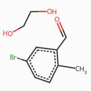 Cc1ccc(Br)cc1C=O.OCCO